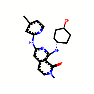 Cc1ccnc(Nc2cc3ccn(C)c(=O)c3c(N[C@H]3CC[C@H](O)CC3)n2)c1